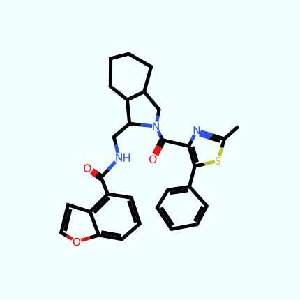 Cc1nc(C(=O)N2CC3CCCCC3C2CNC(=O)c2cccc3occc23)c(-c2ccccc2)s1